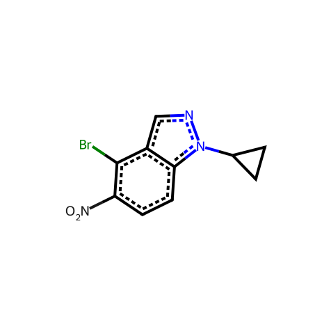 O=[N+]([O-])c1ccc2c(cnn2C2CC2)c1Br